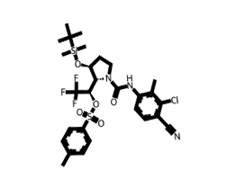 Cc1ccc(S(=O)(=O)O[C@H]([C@@H]2[C@@H](O[Si](C)(C)C(C)(C)C)CCN2C(=O)Nc2ccc(C#N)c(Cl)c2C)C(F)(F)F)cc1